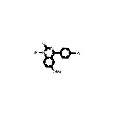 COc1ccc2c(c1)c(-c1ccc(C(C)C)cc1)nc(=O)n2C(C)C